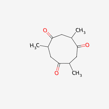 CC1CC(=O)C(C)CC(=O)C(C)CC1=O